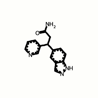 NC(=O)CC(c1cccnc1)c1ccc2[nH]ncc2c1